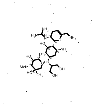 CN[C@@H]1[C@@H](O)[C@@H](O[C@H]2[C@H](NC(CO)CO)C[C@H](N)C([C@H]3OC(CN)=CC[C@H]3NC(N)N)[C@@H]2O)OC[C@]1(C)O